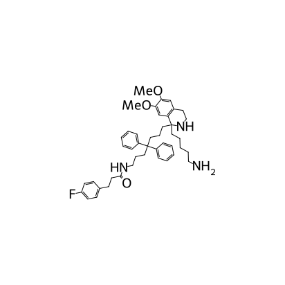 COc1cc2c(cc1OC)C(CCCCCN)(CCCC(CCCNC(=O)CCc1ccc(F)cc1)(c1ccccc1)c1ccccc1)NCC2